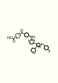 O=C(O)N1CCN(C(=O)c2ccc(Nc3nccc(-c4cn(Cc5ccc(F)cc5)nc4-c4cccnc4)n3)cc2)CC1